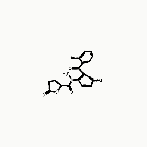 CN(C(=O)C1CCC(=O)O1)c1ccc(Cl)cc1C(=O)c1ccccc1Cl